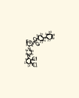 O=C(NCC(CF)N1CCN(c2cccc(Cl)c2Cl)CC1)Oc1ccc(-c2ccccc2)cc1